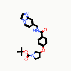 CC(C)(C)OC(=O)N1CCC(Oc2ccc(C(=O)NCc3ccn4ccnc4c3)cc2)C1